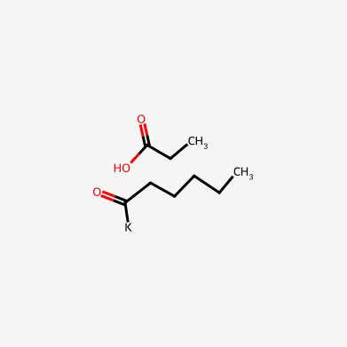 CCC(=O)O.CCCCC[C](=O)[K]